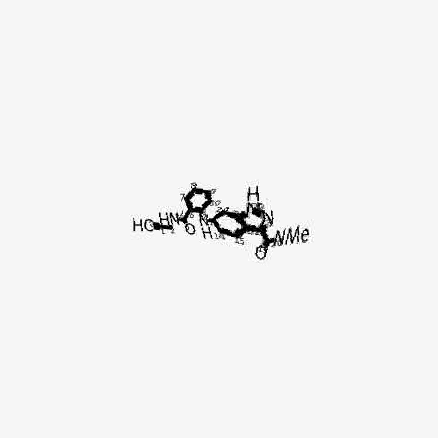 C#CCNC(=O)c1ccccc1Nc1ccc2c(C(=O)NC)n[nH]c2c1